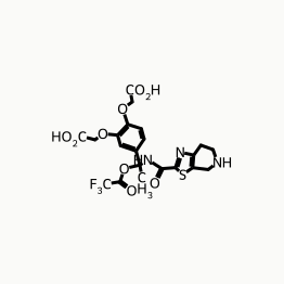 CC(NC(=O)c1nc2c(s1)CNCC2)(OC(=O)C(F)(F)F)c1ccc(OCC(=O)O)c(OCC(=O)O)c1